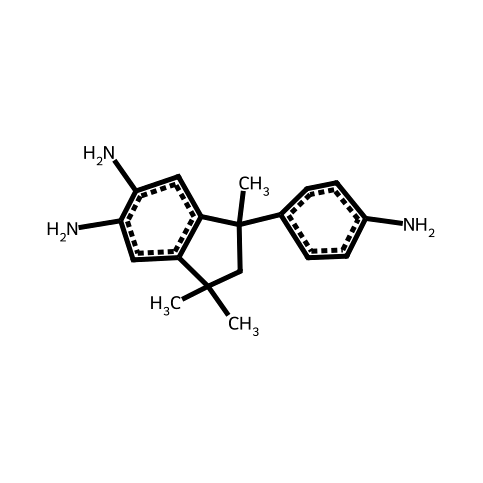 CC1(C)CC(C)(c2ccc(N)cc2)c2cc(N)c(N)cc21